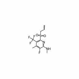 C=CCS(=O)(=O)c1nc(NC)c(F)c(C)c1C(F)(F)F